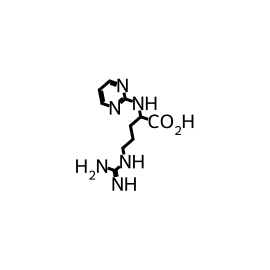 N=C(N)NCCCC(Nc1ncccn1)C(=O)O